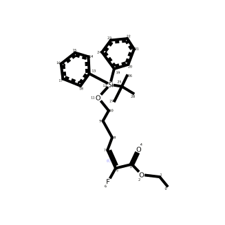 CCOC(=O)/C(F)=C\CCCO[Si](c1ccccc1)(c1ccccc1)C(C)(C)C